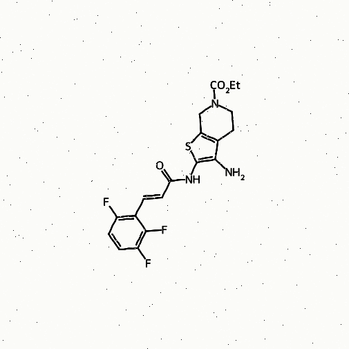 CCOC(=O)N1CCc2c(sc(NC(=O)/C=C/c3c(F)ccc(F)c3F)c2N)C1